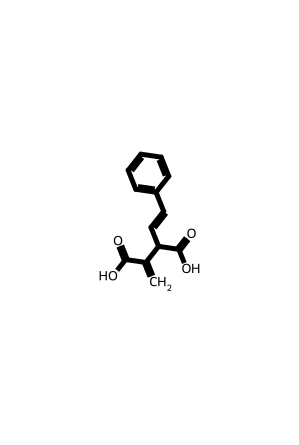 C=C(C(=O)O)C(C=Cc1ccccc1)C(=O)O